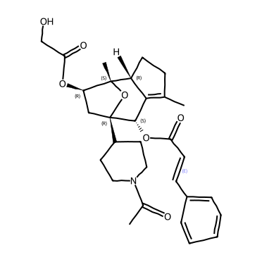 CC(=O)N1CCC([C@@]23C[C@@H](OC(=O)CO)[C@@](C)(O2)[C@@H]2CCC(C)=C2[C@@H]3OC(=O)/C=C/c2ccccc2)CC1